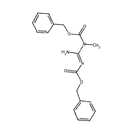 CN(C(=O)OCc1ccccc1)/C(N)=N/C(=O)OCc1ccccc1